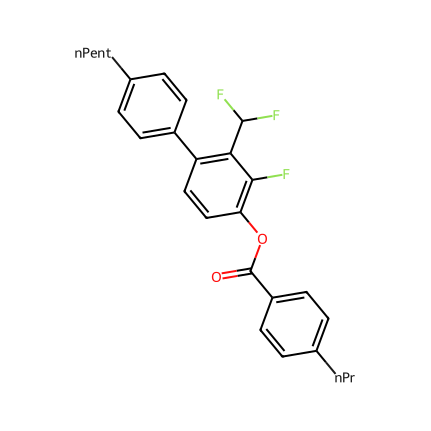 CCCCCc1ccc(-c2ccc(OC(=O)c3ccc(CCC)cc3)c(F)c2C(F)F)cc1